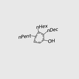 CCCCCCCCCCc1c(O)ccc(CCCCC)c1CCCCCC